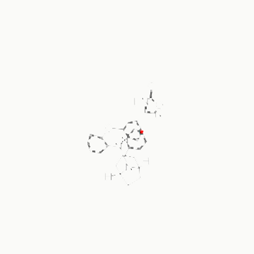 O=c1[nH]c(-c2ccc3c(c2)Oc2ccccc2N3[C@H]2C[C@H]3CC[C@@H](C2)N3Cc2ccccn2)no1